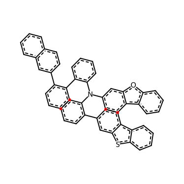 c1ccc(-c2ccccc2N(c2ccc3c(c2)oc2ccccc23)c2ccccc2-c2ccc3c(c2)sc2ccccc23)c(-c2ccc3ccccc3c2)c1